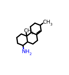 CC1C=C2CCC3C(N)CCCC3(C)C2CC1